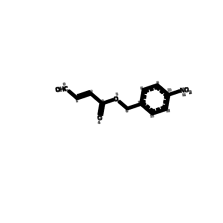 O=CC=CC(=O)OCc1ccc([N+](=O)[O-])cc1